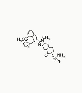 COc1cccc2cc(-c3nc4cc5c(cc4n3C)CCN(C[C@H](N)CF)C5=O)n(Cc3nccs3)c12